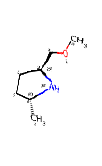 COC[C@@H]1CC[C@@H](C)N1